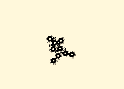 c1ccc(-c2ccc3c(c2)Oc2cc(-n4c5ccccc5c5c6oc7ccccc7c6c6oc7ccccc7c6c54)cc4c2B3c2ccc(-c3ccccc3)cc2O4)cc1